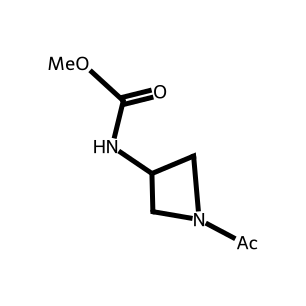 COC(=O)NC1CN(C(C)=O)C1